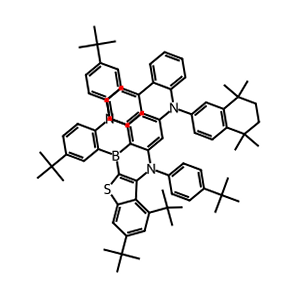 CC(C)(C)c1ccc(N2c3ccc(C(C)(C)C)cc3B3c4sc5cc(C(C)(C)C)cc(C(C)(C)C)c5c4N(c4ccc(C(C)(C)C)cc4)c4cc(N(c5ccc6c(c5)C(C)(C)CCC6(C)C)c5ccccc5-c5ccccc5)cc2c43)cc1